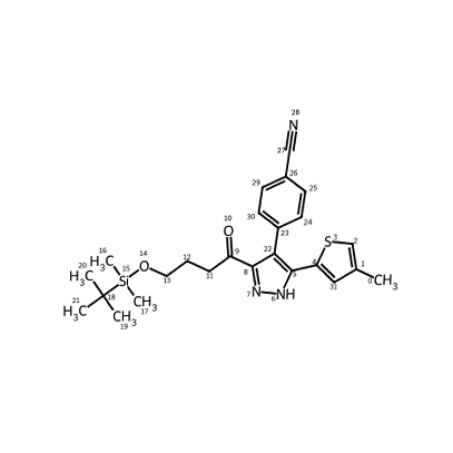 Cc1csc(-c2[nH]nc(C(=O)CCCO[Si](C)(C)C(C)(C)C)c2-c2ccc(C#N)cc2)c1